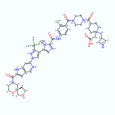 Cn1c(-c2cn(-c3cc4[nH]c(C(=O)N5CCO[C@]6(CCOC6)C5)cc4cn3)nc2C(F)(F)F)cnc1C(=O)Nc1ccc(C(=O)N2CCN(C(=O)C3CC[N+](CC(=O)O)(CC4CNC4)CC3)CC2)c(Cl)c1